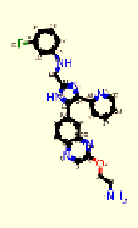 NCCOc1cnc2ccc(-c3[nH]c(CNc4cccc(F)c4)nc3-c3ccccn3)cc2n1